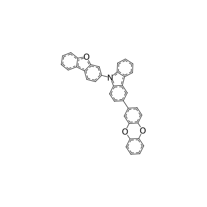 c1ccc2c(c1)Oc1ccc(-c3ccc4c(c3)c3ccccc3n4-c3ccc4c(c3)oc3ccccc34)cc1O2